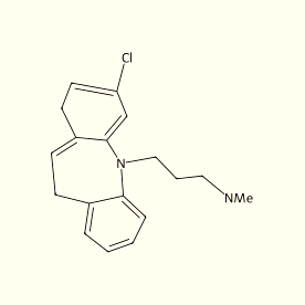 CNCCCN1C2=CC(Cl)=CCC2=CCc2ccccc21